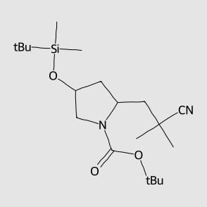 CC(C)(C#N)CC1CC(O[Si](C)(C)C(C)(C)C)CN1C(=O)OC(C)(C)C